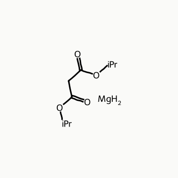 CC(C)OC(=O)CC(=O)OC(C)C.[MgH2]